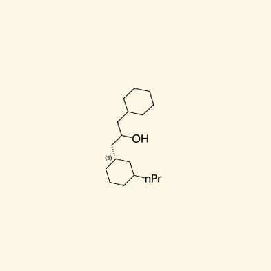 CCCC1CCC[C@H](CC(O)CC2CCCCC2)C1